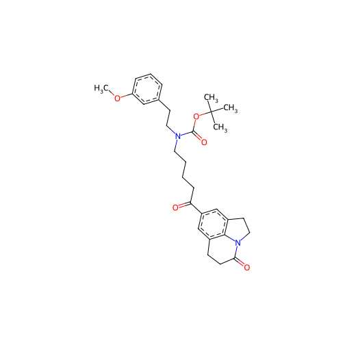 COc1cccc(CCN(CCCCC(=O)c2cc3c4c(c2)CCN4C(=O)CC3)C(=O)OC(C)(C)C)c1